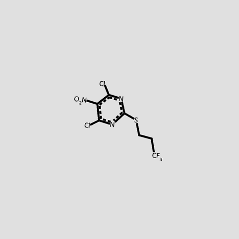 O=[N+]([O-])c1c(Cl)nc(SCCC(F)(F)F)nc1Cl